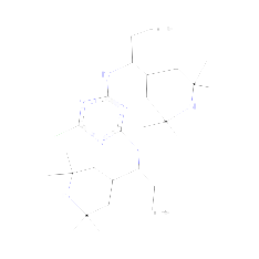 CCCCCCCCCCCC(Nc1nc(Cl)nc(NC(CCCCCCCCCCC)C2CC(C)(C)NC(C)(C)C2)n1)C1CC(C)(C)NC(C)(C)C1